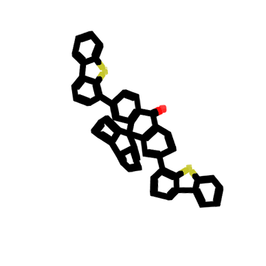 O=C1c2ccc(-c3cccc4c3sc3ccccc34)cc2C2(c3cc(-c4cccc5c4sc4ccccc45)ccc31)c1ccccc1-c1ccccc12